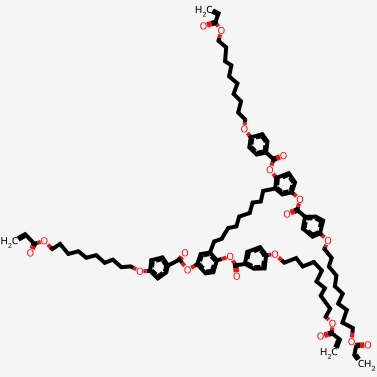 C=CC(=O)OCCCCCCCCCCOc1ccc(C(=O)Oc2ccc(OC(=O)c3ccc(OCCCCCCCCCCOC(=O)C=C)cc3)c(CCCCCCCCCc3cc(OC(=O)c4ccc(OCCCCCCCCCCOC(=O)C=C)cc4)ccc3OC(=O)c3ccc(OCCCCCCCCCCOC(=O)C=C)cc3)c2)cc1